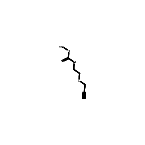 C#CCOCCNC(=O)OC(C)(C)C